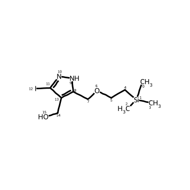 C[Si](C)(C)CCOCc1[nH]nc(I)c1CO